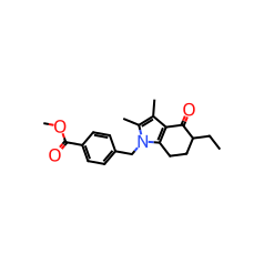 CCC1CCc2c(c(C)c(C)n2Cc2ccc(C(=O)OC)cc2)C1=O